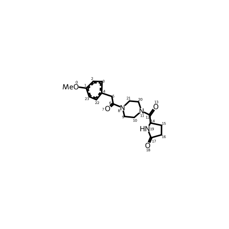 COc1ccc(CC(=O)N2CCN(C(=O)C3CCC(=O)N3)CC2)cc1